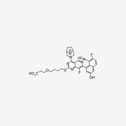 C#Cc1c(F)ccc2cc(O)cc(-c3ncc4c(N5CC6CCC(C5)N6)nc(OCCCCOCCC(=O)O)nc4c3F)c12